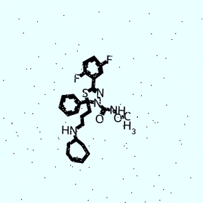 CONC(=O)N1N=C(c2cc(F)ccc2F)SC1(CCCNC1CCC=CCC1)c1ccccc1